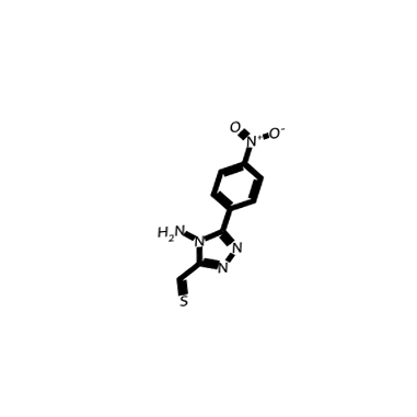 Nn1c(C=S)nnc1-c1ccc([N+](=O)[O-])cc1